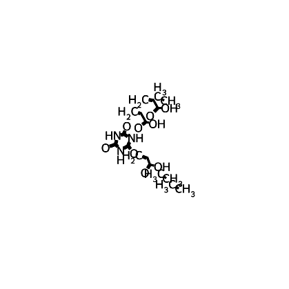 C=CC(=O)O.C=CC(=O)O.C=CC(=O)O.CC.CC.CC.O=c1[nH]c(=O)[nH]c(=O)[nH]1